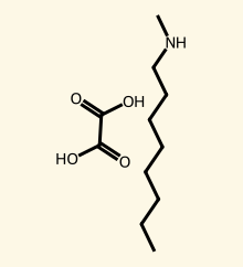 CCCCCCCCNC.O=C(O)C(=O)O